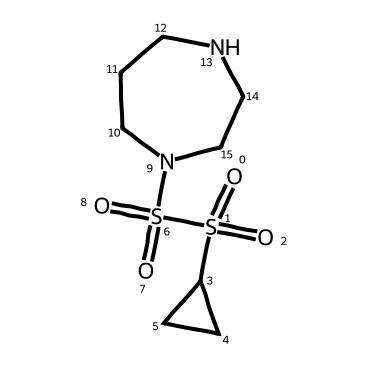 O=S(=O)(C1CC1)S(=O)(=O)N1CCCNCC1